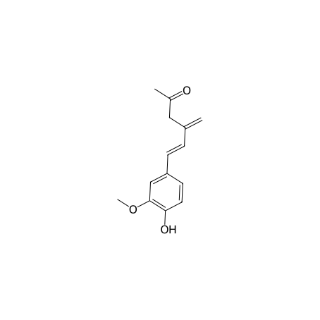 C=C(/C=C/c1ccc(O)c(OC)c1)CC(C)=O